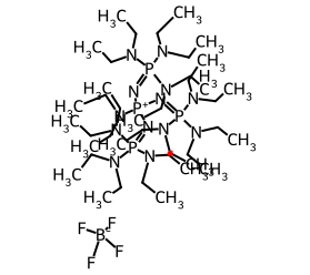 CCN(CC)P(=N[P+](N=P(N(CC)CC)(N(CC)CC)N(CC)CC)(N=P(N(CC)CC)(N(CC)CC)N(CC)CC)N(CC)CC)(N(CC)CC)N(CC)CC.F[B-](F)(F)F